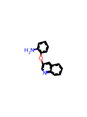 Nc1ccccc1Oc1cnc2ccccc2c1